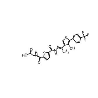 C/C(=N\NC(=O)c1ccc(C(=O)NCC(=O)O)s1)c1csc(-c2ccc(C(F)(F)F)cc2)c1O